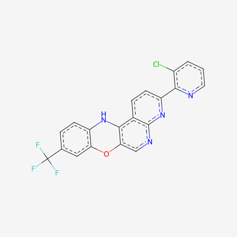 FC(F)(F)c1ccc2c(c1)Oc1cnc3nc(-c4ncccc4Cl)ccc3c1N2